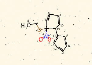 CCSC1([N+](=O)[O-])C=CC=CC1c1ccccc1